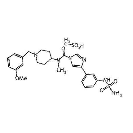 COc1cccc(CN2CCC(N(C)C(=O)n3cnc(-c4cccc(NS(N)(=O)=O)c4)c3)CC2)c1.CS(=O)(=O)O